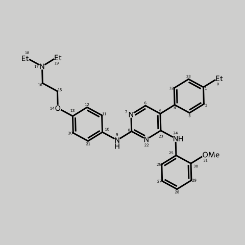 CCc1ccc(-c2cnc(Nc3ccc(OCCN(CC)CC)cc3)nc2Nc2ccccc2OC)cc1